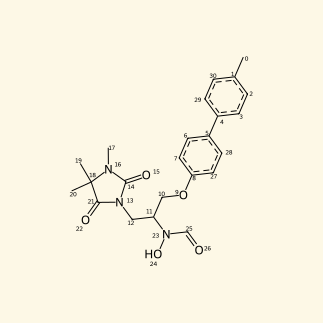 Cc1ccc(-c2ccc(OCC(CN3C(=O)N(C)C(C)(C)C3=O)N(O)C=O)cc2)cc1